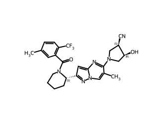 Cc1ccc(C(F)(F)F)c(C(=O)N2CCCC[C@H]2c2cc3nc(N4C[C@@H](C#N)[C@@H](O)C4)c(C)cn3n2)c1